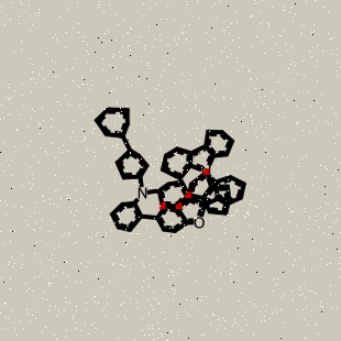 c1ccc(-c2ccc(N(c3ccc(-c4ccccc4-n4c5ccccc5c5ccccc54)cc3)c3ccccc3-c3ccc4oc5c6ccccc6ccc5c4c3)cc2)cc1